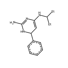 CCC(CC)NC1=CC(c2ccccc2)NC(N)=N1